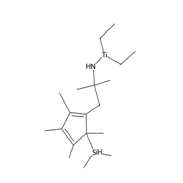 C[CH2][Ti]([CH2]C)[NH]C(C)(C)CC1=C(C)C(C)=C(C)C1(C)[SiH](C)C